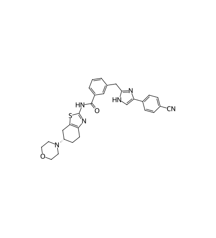 N#Cc1ccc(-c2c[nH]c(Cc3cccc(C(=O)Nc4nc5c(s4)C[C@@H](N4CCOCC4)CC5)c3)n2)cc1